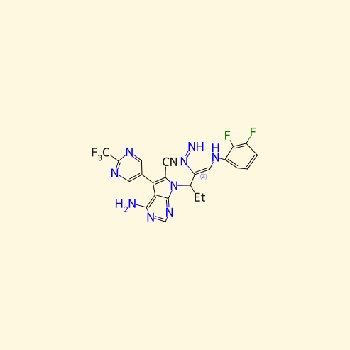 CCC(/C(=C/Nc1cccc(F)c1F)N=N)n1c(C#N)c(-c2cnc(C(F)(F)F)nc2)c2c(N)ncnc21